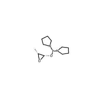 C[C@H]1O[C@H]1OP(N1CCCC1)N1CCCC1